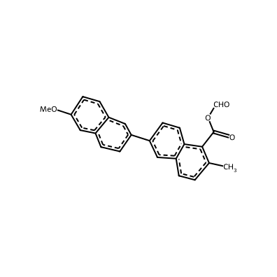 COc1ccc2cc(-c3ccc4c(C(=O)OC=O)c(C)ccc4c3)ccc2c1